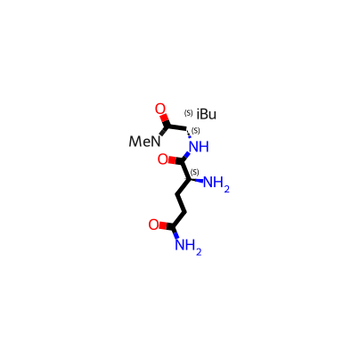 CC[C@H](C)[C@H](NC(=O)[C@@H](N)CCC(N)=O)C(=O)NC